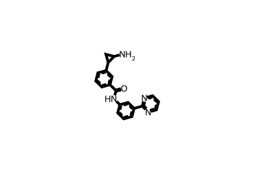 NC1CC1c1cccc(C(=O)Nc2cccc(-c3ncccn3)c2)c1